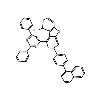 CC1CC=Cc2oc3cc(-c4ccc(-c5cccc6ccccc56)cc4)cc(-c4nc(-c5ccccc5)nc(-c5ccccc5)n4)c3c21